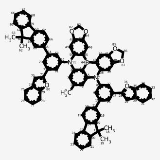 Cc1cc2c3c(c1)N(c1cc(-c4ccc5c(c4)C(C)(C)c4ccccc4-5)cc(-c4cc5ccccc5o4)c1)c1cc4c(cc1B3c1cc3c(cc1N2c1cc(-c2ccc5c(c2)C(C)(C)c2ccccc2-5)cc(-c2cc5ccccc5o2)c1)OCO3)OCO4